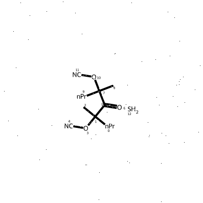 CCCC(C)(OC#N)C(=O)C(C)(CCC)OC#N.S